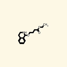 CCOC(=O)CCCOC1NCCc2ccccc21